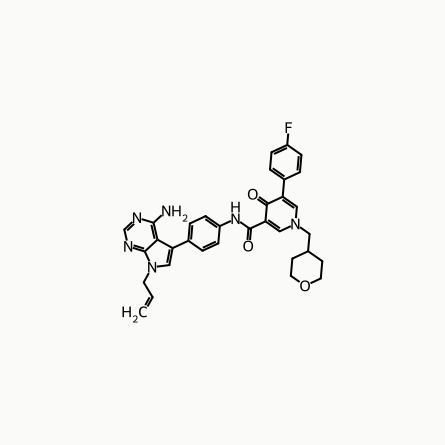 C=CCn1cc(-c2ccc(NC(=O)c3cn(CC4CCOCC4)cc(-c4ccc(F)cc4)c3=O)cc2)c2c(N)ncnc21